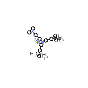 CC(C)(C)c1ccc(-c2ccc(N(C3=CC=C(c4ccc(-n5c6ccccc6c6ccccc65)cc4)/C(=N/S)C3=N)c3ccc(-c4ccc(C(C)(C)C)cc4)cc3)cc2)cc1